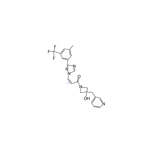 Cc1cc(-c2ncn(/C=C\C(=O)N3CC(O)(Cc4cccnc4)C3)n2)cc(C(F)(F)F)c1